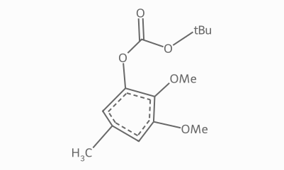 COc1cc(C)cc(OC(=O)OC(C)(C)C)c1OC